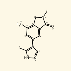 Cc1[nH]ncc1-c1cc2c(c(C(F)(F)F)c1)CN(C)C2=O